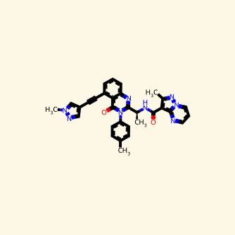 Cc1ccc(-n2c([C@H](C)NC(=O)c3c(C)nn4cccnc34)nc3cccc(C#Cc4cnn(C)c4)c3c2=O)cc1